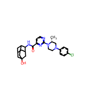 C[C@@H]1CN(c2ccc(Cl)cc2)CCN1c1nccc(C(=O)NC2C3CC4CC2CC(O)(C4)C3)n1